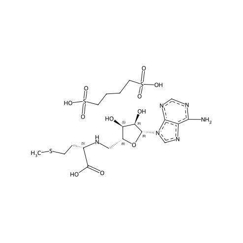 CSCC[C@H](NC[C@H]1O[C@@H](n2cnc3c(N)ncnc32)[C@H](O)[C@@H]1O)C(=O)O.O=S(=O)(O)CCCCS(=O)(=O)O